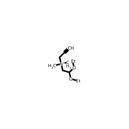 C#CC[N+](C)(C)CC(OCC)OCC